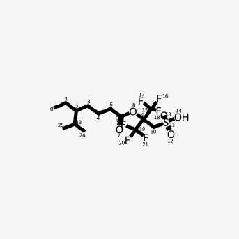 CCC(CCCC(=O)OC(CS(=O)(=O)O)(C(F)(F)F)C(F)(F)F)C(C)C